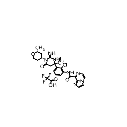 C[C@@H]1C[C@H](N2C(=N)N[C@](C)(c3cccc(NC(=O)c4nccn5ccnc45)c3Cl)CC2=O)CCO1.O=C(O)C(F)(F)F